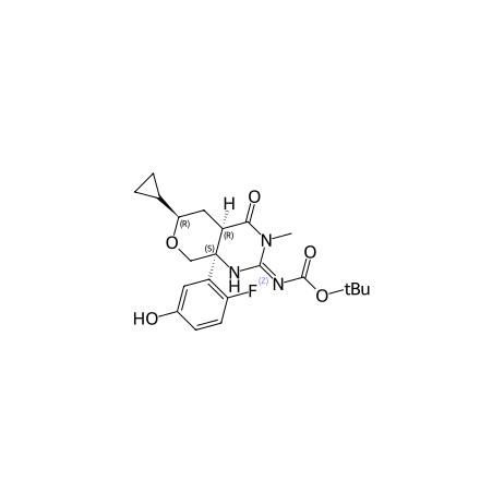 CN1C(=O)[C@@H]2C[C@H](C3CC3)OC[C@]2(c2cc(O)ccc2F)N/C1=N/C(=O)OC(C)(C)C